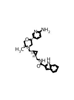 C[C@H]1CO[C@H](c2ccc(N)nc2)CN1C[C@H]1C[C@H]1CNC(=O)c1cc2ccccc2[nH]1